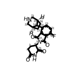 O=C1CCC(N2C(=O)c3c(F)ccc(C4[C@@H]5CC[C@H]4CNC5)c3C2=O)C(=O)N1